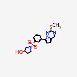 CSc1ncc2ccc(-c3cccc(S(=O)(=O)N4CCC(O)C4)c3)n2n1